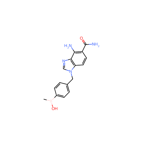 CB(O)c1ccc(Cn2cnc3c(N)c(C(N)=O)ccc32)cc1